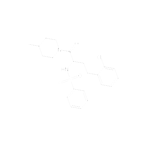 CC1CCN(C(=O)C(CCc2ccccc2Cl)NS(=O)(=O)c2ccccc2)CC1